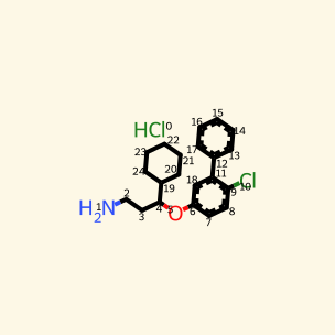 Cl.NCCC(Oc1ccc(Cl)c(-c2ccccc2)c1)C1CCCCC1